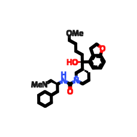 CNC[C@H](CC1CCCCC1)NC(=O)N1CCC[C@@H]([C@@](O)(CCCCOC)c2cccc3c2CCO3)C1